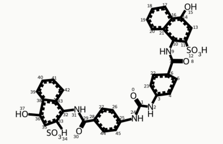 O=C(Nc1ccc(C(=O)Nc2c(S(=O)(=O)O)cc(O)c3ccccc23)cc1)Nc1ccc(C(=O)Nc2c(S(=O)(=O)O)cc(O)c3ccccc23)cc1